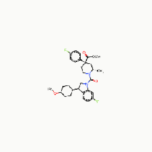 COC(=O)[C@@]1(c2ccc(F)cc2)CCN(C(=O)N2CC(C3CCC(OC(C)C)CC3)c3ccc(F)cc32)[C@@H](C)C1